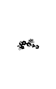 CN1C(=O)C2(CCC2)c2c1cnc1ccc(-c3cnc(N4CC(N5CCCC5)C4)c(NS(C)(=O)=O)c3)cc21